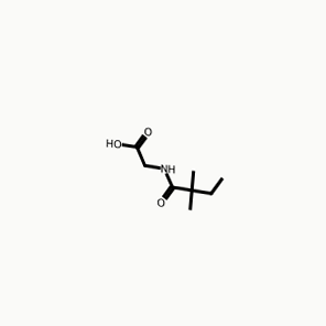 CCC(C)(C)C(=O)NCC(=O)O